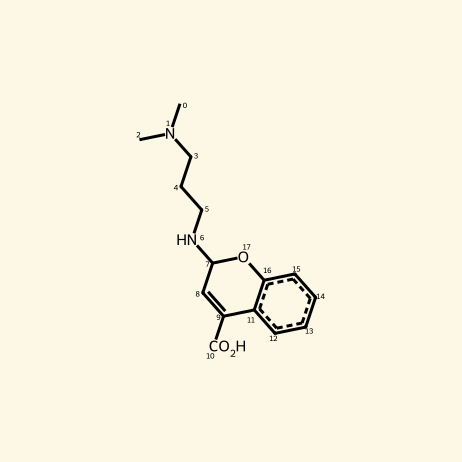 CN(C)CCCNC1C=C(C(=O)O)c2ccccc2O1